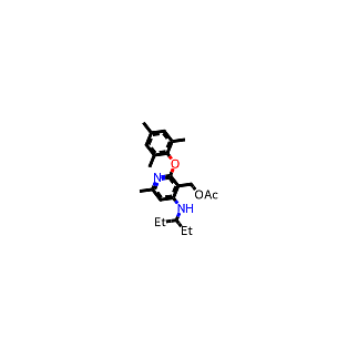 CCC(CC)Nc1cc(C)nc(Oc2c(C)cc(C)cc2C)c1COC(C)=O